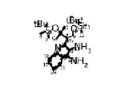 CC(C)(O[Si](C)(C)C(C)(C)C)[C@@H](CO[Si](C)(C)C(C)(C)C)c1nc2ccccc2c(N)c1N